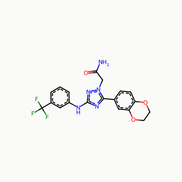 NC(=O)Cn1nc(Nc2cccc(C(F)(F)F)c2)nc1-c1ccc2c(c1)OCCO2